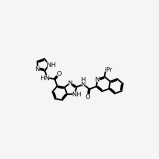 CC(C)c1nc(C(=O)Nc2nc3c(C(=O)Nc4ncc[nH]4)cccc3[nH]2)cc2ccccc12